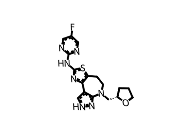 Fc1cnc(Nc2nc3c(s2)CCN(C[C@@H]2CCCO2)c2n[nH]cc2-3)nc1